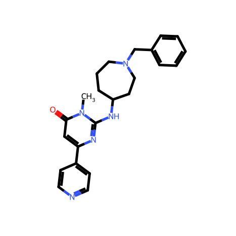 Cn1c(NC2CCCN(Cc3ccccc3)CC2)nc(-c2ccncc2)cc1=O